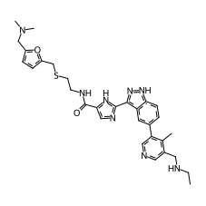 CCNCc1cncc(-c2ccc3[nH]nc(-c4ncc(C(=O)NCCSCc5ccc(CN(C)C)o5)[nH]4)c3c2)c1C